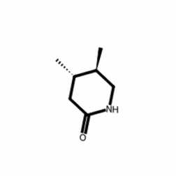 C[C@H]1CNC(=O)C[C@@H]1C